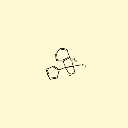 CC1(C)COC1(c1ccccc1)c1ccccc1